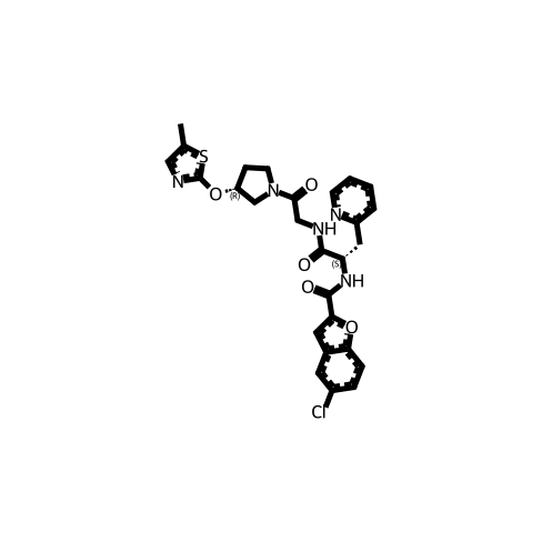 Cc1cnc(O[C@@H]2CCN(C(=O)CNC(=O)[C@H](Cc3ccccn3)NC(=O)c3cc4cc(Cl)ccc4o3)C2)s1